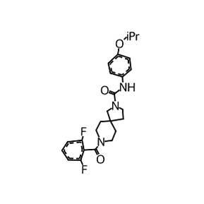 CC(C)Oc1ccc(NC(=O)N2CCC3(CCN(C(=O)c4c(F)cccc4F)CC3)C2)cc1